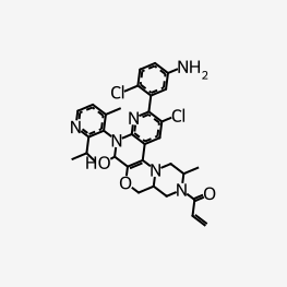 C=CC(=O)N1CC2COC3=C(c4cc(Cl)c(-c5cc(N)ccc5Cl)nc4N(c4c(C)ccnc4C(C)C)C3O)N2CC1C